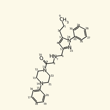 CCCc1cc(CNCC(=O)N2CCN(c3ccccc3)CC2)nn1-c1ccccc1